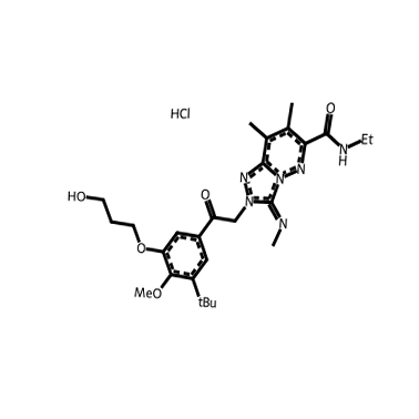 CCNC(=O)c1nn2c(=NC)n(CC(=O)c3cc(OCCCO)c(OC)c(C(C)(C)C)c3)nc2c(C)c1C.Cl